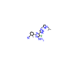 Cc1c(C#N)cccc1-c1nc(N)c(F)c(-c2cn(Cc3ccn(CC(C)C)n3)nn2)n1